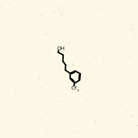 OCCCCCc1cccc(C(F)(F)F)c1